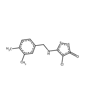 Cc1ccc(CNc2ssc(=O)c2Cl)cc1C